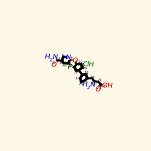 Cl.NC(=O)c1cnc(Oc2ccc(-c3cccc(CC(N)CC(=O)O)c3)cc2)c(F)c1